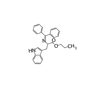 CCCOC(=O)C(Cc1c[nH]c2ccccc12)N=C(c1ccccc1)c1ccccc1